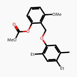 CCc1cc(CC)c(OCc2c(OC)cccc2OC(=O)OC)cc1C